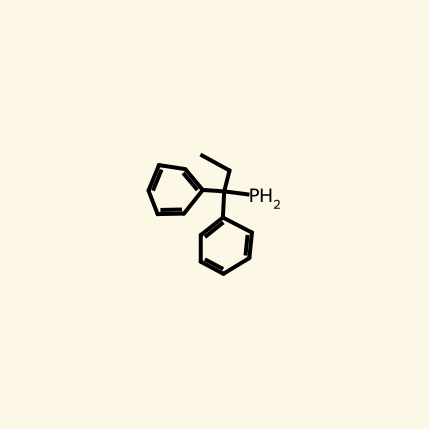 CCC(P)(c1ccccc1)c1ccccc1